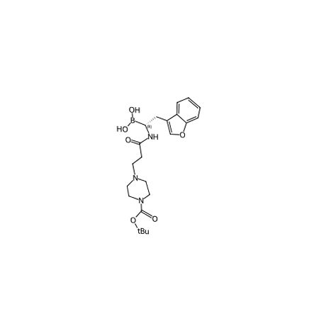 CC(C)(C)OC(=O)N1CCN(CCC(=O)N[C@@H](Cc2coc3ccccc23)B(O)O)CC1